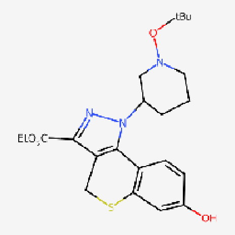 CCOC(=O)c1nn(C2CCCN(OC(C)(C)C)C2)c2c1CSc1cc(O)ccc1-2